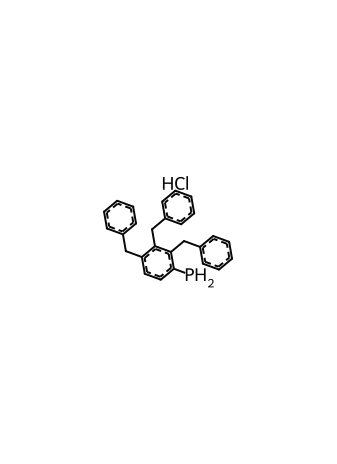 Cl.Pc1ccc(Cc2ccccc2)c(Cc2ccccc2)c1Cc1ccccc1